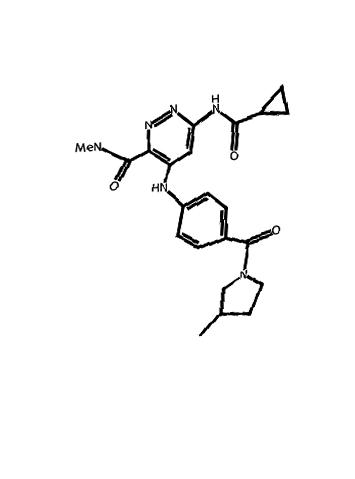 CNC(=O)c1nnc(NC(=O)C2CC2)cc1Nc1ccc(C(=O)N2CCC(C)C2)cc1